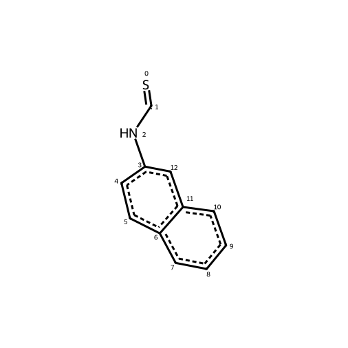 S=[C]Nc1ccc2ccccc2c1